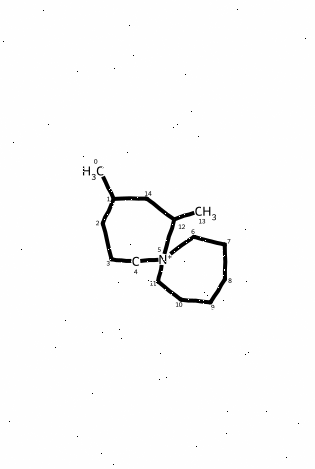 CC1CCC[N+]2(CCCCCC2)C(C)C1